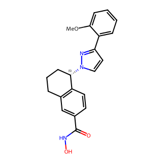 COc1ccccc1-c1ccn([C@H]2CCCc3cc(C(=O)NO)ccc32)n1